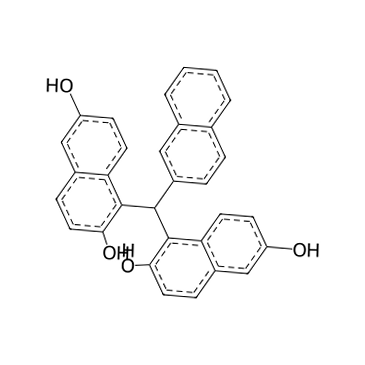 Oc1ccc2c(C(c3ccc4ccccc4c3)c3c(O)ccc4cc(O)ccc34)c(O)ccc2c1